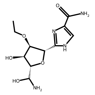 CCO[C@@H]1[C@H](O)[C@@H](C(N)O)O[C@H]1c1nc(C(N)=O)c[nH]1